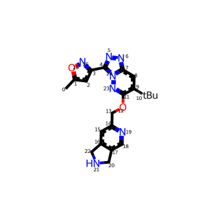 Cc1cc(-c2nnc3cc(C(C)(C)C)c(OCc4cc5c(cn4)CNC5)nn23)no1